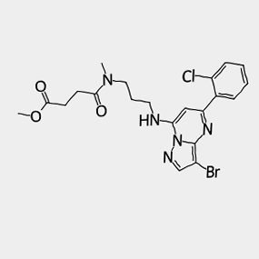 COC(=O)CCC(=O)N(C)CCCNc1cc(-c2ccccc2Cl)nc2c(Br)cnn12